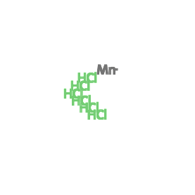 Cl.Cl.Cl.Cl.Cl.Cl.[Mn]